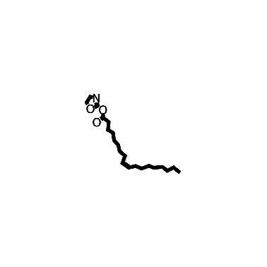 CCCCCCCC/C=C\CCCCCCCC(=O)OC1=NCCO1